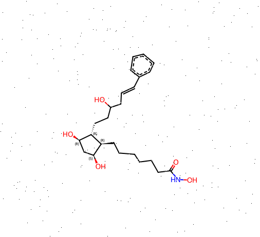 O=C(CCCCCC[C@@H]1[C@@H](CCC(O)CC=Cc2ccccc2)[C@H](O)C[C@@H]1O)NO